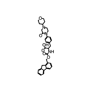 O=C(NC(Cc1ccc(N2CCN(C3CCOCC3)CC2=O)cc1)C(=O)O)OCc1cccc2c1Cc1ccccc1-2